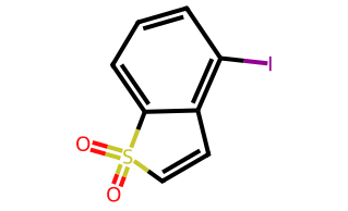 O=S1(=O)C=Cc2c(I)cccc21